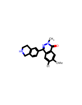 CCc1cc2c(-c3ccc4c(c3)CCNC4)nn(C)c(=O)c2cc1OC